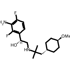 CO[C@H]1CC[C@H](CC(C)(C)NC[C@H](O)c2ccc(F)c(N)c2F)CC1